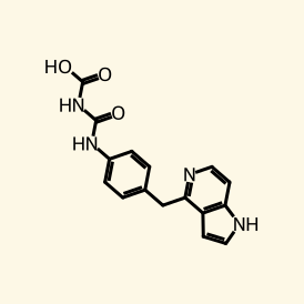 O=C(O)NC(=O)Nc1ccc(Cc2nccc3[nH]ccc23)cc1